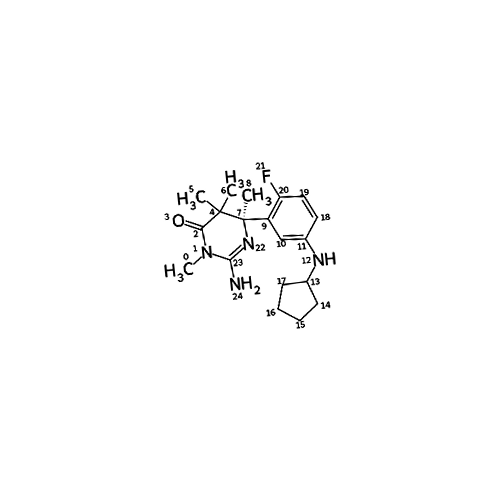 CN1C(=O)C(C)(C)[C@@](C)(c2cc(NC3CCCC3)ccc2F)N=C1N